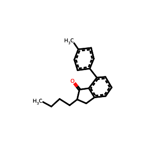 CCCCC1Cc2cccc(-c3ccc(C)cc3)c2C1=O